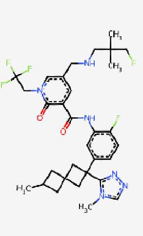 CC1CC2(C1)CC(c1ccc(F)c(NC(=O)c3cc(CNCC(C)(C)CF)cn(CC(F)(F)F)c3=O)c1)(c1nncn1C)C2